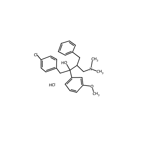 COc1cccc(C(O)(Cc2ccc(Cl)cc2)C(Cc2ccccc2)CN(C)C)c1.Cl